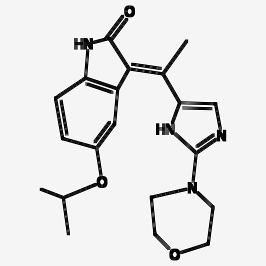 CC(=C1C(=O)Nc2ccc(OC(C)C)cc21)c1cnc(N2CCOCC2)[nH]1